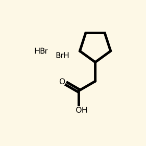 Br.Br.O=C(O)CC1CCCC1